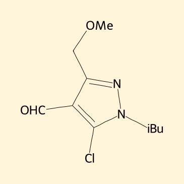 CCC(C)n1nc(COC)c(C=O)c1Cl